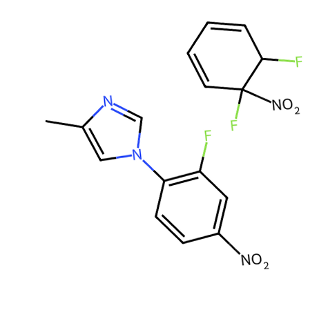 Cc1cn(-c2ccc([N+](=O)[O-])cc2F)cn1.O=[N+]([O-])C1(F)C=CC=CC1F